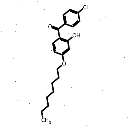 CCCCCCCCOc1ccc(C(=O)c2ccc(Cl)cc2)c(O)c1